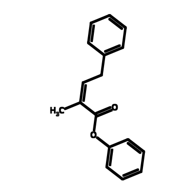 CC(=CCc1ccccc1)C(=O)Oc1ccccc1